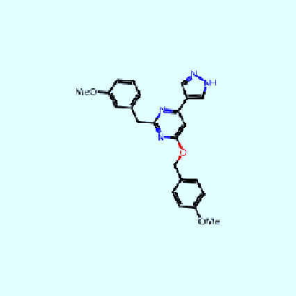 COc1ccc(COc2cc(-c3cn[nH]c3)nc(Cc3cccc(OC)c3)n2)cc1